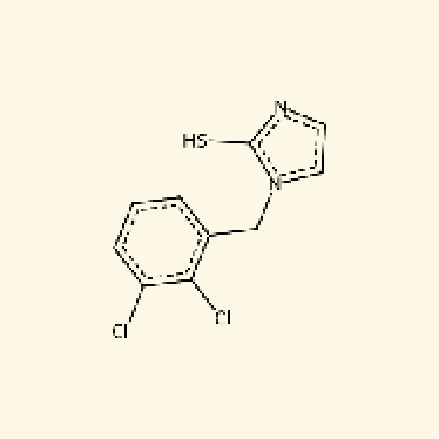 Sc1nccn1Cc1cccc(Cl)c1Cl